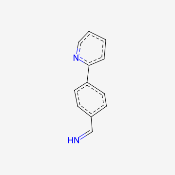 N=Cc1ccc(-c2ccccn2)cc1